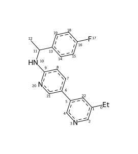 CCc1cncc(-c2ccc(NC(C)c3ccc(F)cc3)nc2)c1